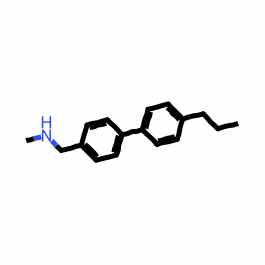 CCCc1ccc(-c2ccc(CNC)cc2)cc1